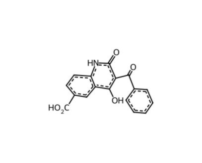 O=C(O)c1ccc2[nH]c(=O)c(C(=O)c3ccccc3)c(O)c2c1